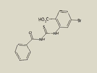 O=C(NC(=S)Nc1cc(Br)ccc1C(=O)O)c1ccccc1